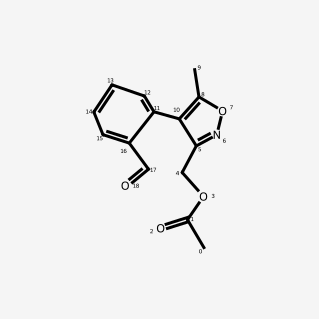 CC(=O)OCc1noc(C)c1-c1ccccc1C=O